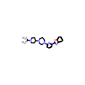 CC(C)N1CCC(N2CCCN(c3cccc(-c4nc5ccccc5o4)n3)CC2)CC1